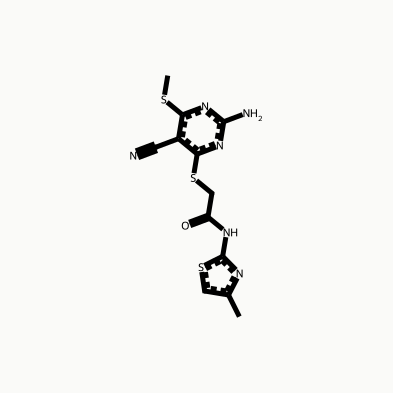 CSc1nc(N)nc(SCC(=O)Nc2nc(C)cs2)c1C#N